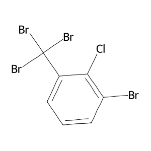 Clc1c(Br)cccc1C(Br)(Br)Br